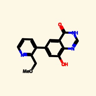 COCc1ncccc1-c1cc(O)c2nc[nH]c(=O)c2c1